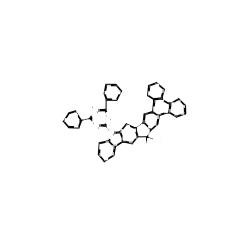 CC1(C)c2cc3c4ccccc4c4ccccc4c3cc2-c2cc3c(cc21)c1ccccc1n3-c1nc(-c2ccccc2)nc(-c2ccccc2)n1